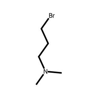 CN(C)CCCBr